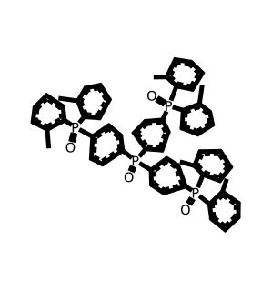 Cc1ccccc1P(=O)(c1ccc(P(=O)(c2ccc(P(=O)(c3ccccc3C)c3ccccc3C)cc2)c2ccc(P(=O)(c3ccccc3C)c3ccccc3C)cc2)cc1)c1ccccc1C